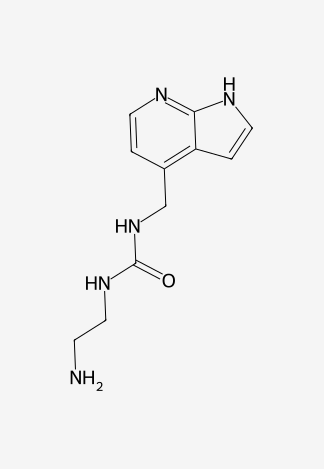 NCCNC(=O)NCc1ccnc2[nH]ccc12